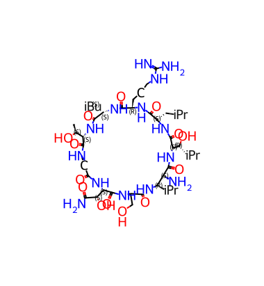 CC[C@H](C)[C@@H]1NC(=O)[C@@H](CCCNC(=N)N)NC(=O)[C@H](CC(C)C)NC(=O)[C@H]([C@H](O)C(C)C)NC(=O)[C@@H](N)[C@@H](C(C)C)NC(=O)C(CO)NC(=O)[C@H]([C@H](O)C(N)=O)NC(=O)CNC(=O)[C@H]([C@H](C)O)NC1=O